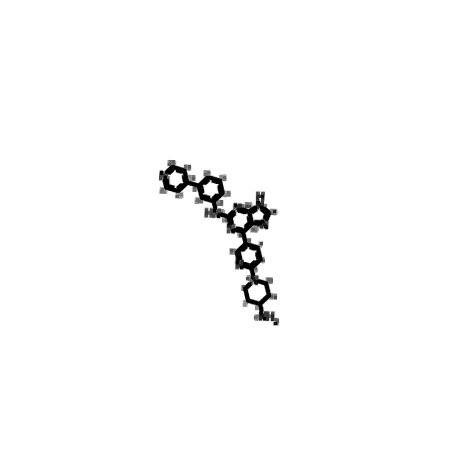 NC1CCN(c2ccc(-c3nc(Nc4cccc(-c5ccncc5)c4)nc4[nH]cnc34)cn2)CC1